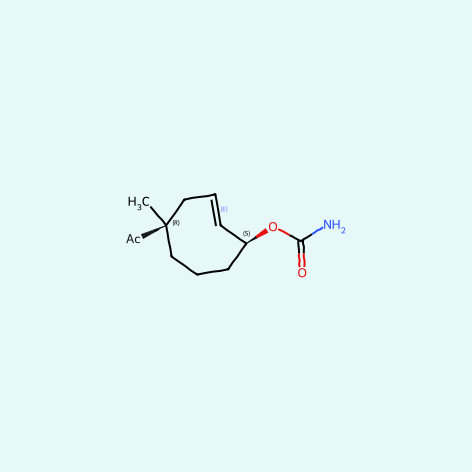 CC(=O)[C@@]1(C)C/C=C/[C@@H](OC(N)=O)CCC1